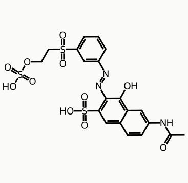 CC(=O)Nc1ccc2cc(S(=O)(=O)O)c(N=Nc3cccc(S(=O)(=O)CCOS(=O)(=O)O)c3)c(O)c2c1